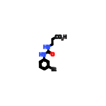 CCc1cccc(NC(=O)NCCC(=O)O)c1